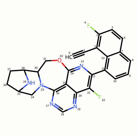 C#Cc1c(F)ccc2cccc(-c3nc4c5c(ncnc5c3F)N3CC5CCC(N5)C3CO4)c12